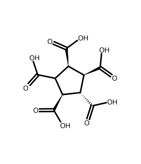 O=C(O)C1[C@H](C(=O)O)[C@@H](C(=O)O)[C@H](C(=O)O)[C@@H]1C(=O)O